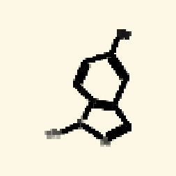 CCCn1ncc2cc(C(C)C)ccc21